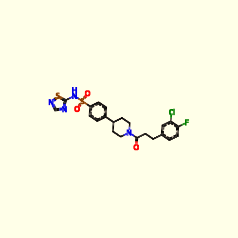 O=C(CCc1ccc(F)c(Cl)c1)N1CCC(c2ccc(S(=O)(=O)Nc3ncns3)cc2)CC1